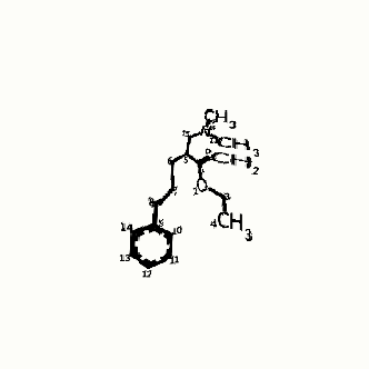 C=C(OCC)C(CCCc1ccccc1)CN(C)C